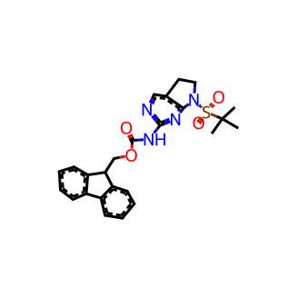 CC(C)(C)S(=O)(=O)N1CCc2cnc(NC(=O)OCC3c4ccccc4-c4ccccc43)nc21